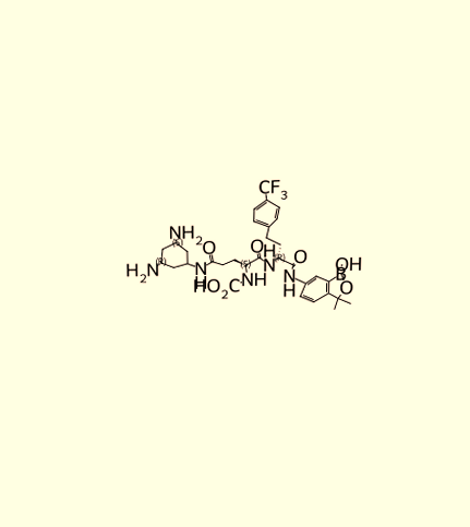 CC1(C)OB(O)c2cc(NC(=O)[C@@H](CCc3ccc(C(F)(F)F)cc3)NC(=O)[C@H](CCC(=O)NC3C[C@@H](N)C[C@@H](N)C3)NC(=O)O)ccc21